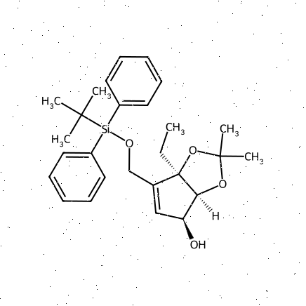 CC[C@]12OC(C)(C)O[C@H]1[C@@H](O)C=C2CO[Si](c1ccccc1)(c1ccccc1)C(C)(C)C